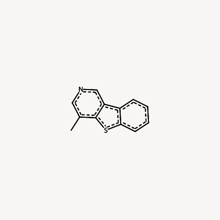 Cc1cncc2c1sc1ccccc12